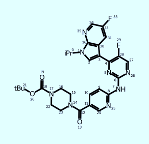 CC(C)n1cc(-c2nc(Nc3ccc(C(=O)N4CCN(C(=O)OC(C)(C)C)CC4)cn3)ncc2F)c2cc(F)cnc21